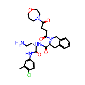 Cc1cc(NC(=O)[C@H](CCN)NC(=O)[C@@H]2Cc3ccccc3CN2C(=O)CCC(=O)N2CCCOCC2)ccc1Cl